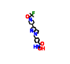 CC(C)(F)C(=O)N1CCC(c2cnc3c(ccn3Cc3ccc(C(=O)NO)cc3)c2)CC1